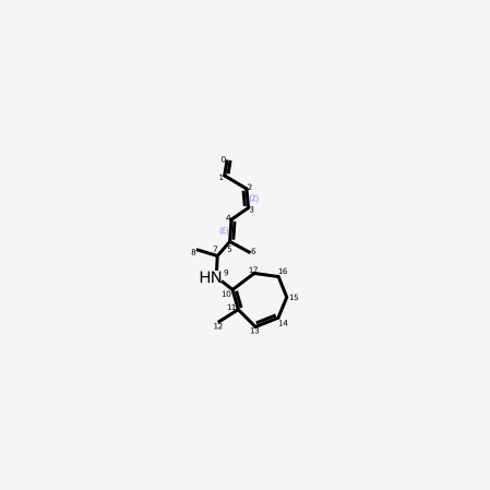 C=C/C=C\C=C(/C)C(C)NC1=C(C)C=CCCC1